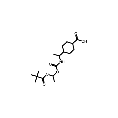 CC(OC(=O)NC(C)C1CCC(C(=O)O)CC1)OC(=O)C(C)(C)C